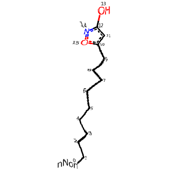 CCCCCCCCCCCCCCCCCCc1cc(O)no1